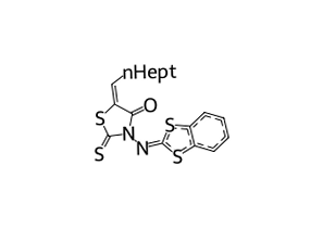 CCCCCCC/C=C1/SC(=S)N(N=c2sc3ccccc3s2)C1=O